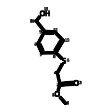 COC(=O)CSc1ccc(CO)cc1